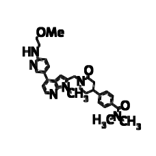 COCCNc1ccc(-c2ccnc3c2cc(CN2CCC(c4ccc(C(=O)N(C)C)cc4)CC2=O)n3C)cn1